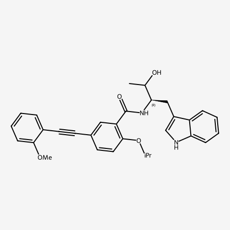 COc1ccccc1C#Cc1ccc(OC(C)C)c(C(=O)N[C@H](Cc2c[nH]c3ccccc23)C(C)O)c1